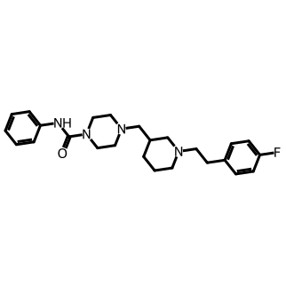 O=C(Nc1ccccc1)N1CCN(CC2CCCN(CCc3ccc(F)cc3)C2)CC1